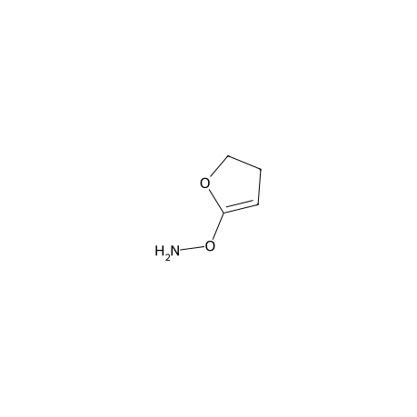 NOC1=CCCO1